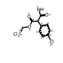 [NH]C(=O)C(C(=O)OCC(Cl)(Cl)Cl)c1ccc(Cl)cc1